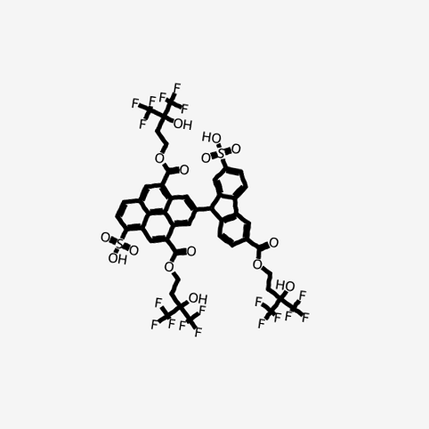 O=C(OCCC(O)(C(F)(F)F)C(F)(F)F)c1ccc2c(c1)-c1ccc(S(=O)(=O)O)cc1C2c1cc2c(C(=O)OCCC(O)(C(F)(F)F)C(F)(F)F)cc3ccc(S(=O)(=O)O)c4cc(C(=O)OCCC(O)(C(F)(F)F)C(F)(F)F)c(c1)c2c34